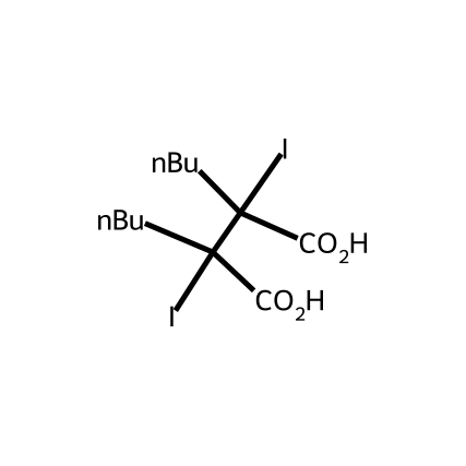 CCCCC(I)(C(=O)O)C(I)(CCCC)C(=O)O